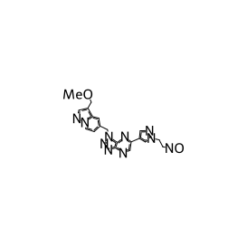 COCc1cnn2ccc(Cn3nnc4ncc(-c5cnn(CCN=O)c5)nc43)cc12